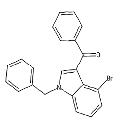 O=C(c1ccccc1)c1cn(Cc2ccccc2)c2cccc(Br)c12